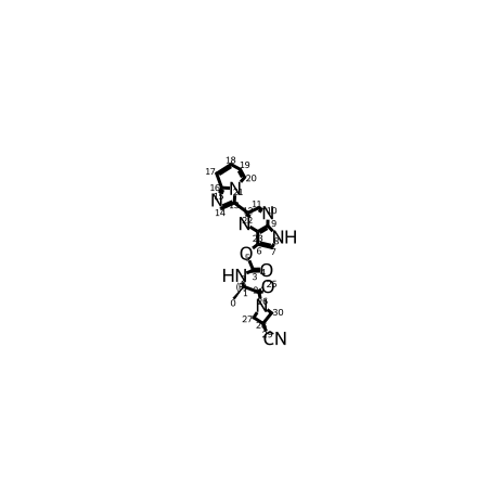 C[C@@H](NC(=O)Oc1c[nH]c2ncc(-c3cnc4ccccn34)nc12)C(=O)N1CC(C#N)C1